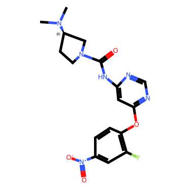 CN(C)[C@@H]1CCN(C(=O)Nc2cc(Oc3ccc([N+](=O)[O-])cc3F)ncn2)C1